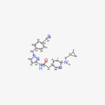 CN(CC1CC1)c1ccc(CC(=O)Nc2ccn(Cc3ccc(C#N)cc3)n2)cn1